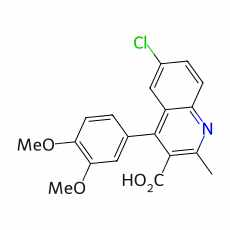 COc1ccc(-c2c(C(=O)O)c(C)nc3ccc(Cl)cc23)cc1OC